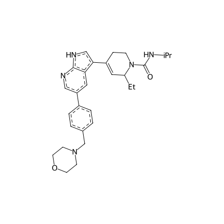 CCC1C=C(c2c[nH]c3ncc(-c4ccc(CN5CCOCC5)cc4)cc23)CCN1C(=O)NC(C)C